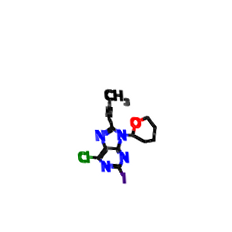 CC#Cc1nc2c(Cl)nc(I)nc2n1C1CCCCO1